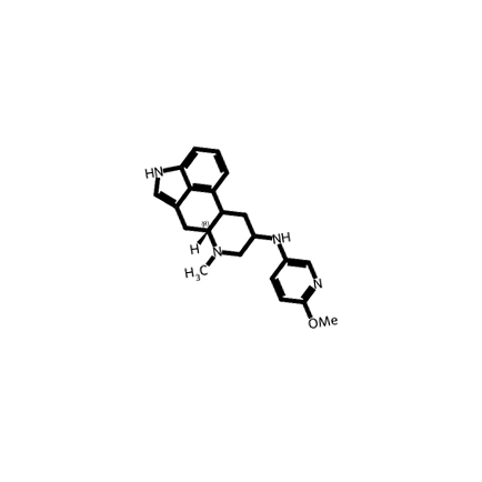 COc1ccc(NC2CC3c4cccc5[nH]cc(c45)C[C@H]3N(C)C2)cn1